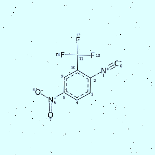 [C-]#[N+]c1ccc([N+](=O)[O-])cc1C(F)(F)F